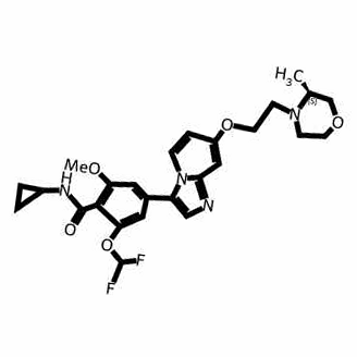 COc1cc(-c2cnc3cc(OCCN4CCOC[C@@H]4C)ccn23)cc(OC(F)F)c1C(=O)NC1CC1